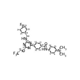 CN(C)c1ccc(NC(=O)c2ccc(-c3nc(NCc4ccc(F)cc4)nc(OCC(F)(F)F)n3)cc2)cc1